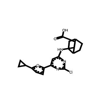 O=C(O)C1C2CCC(CC2)C1Nc1cc(-c2ccc(C3CC3)o2)nc(Cl)n1